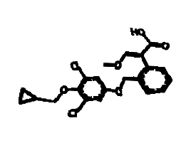 CO/C=C(/C(=O)O)c1ccccc1COc1cc(Cl)c(OCC2CC2)c(Cl)c1